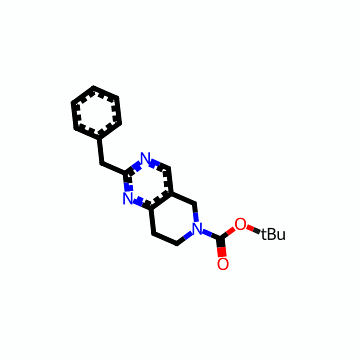 CC(C)(C)OC(=O)N1CCc2nc(Cc3ccccc3)ncc2C1